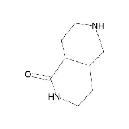 O=C1NCCC2CNCCC12